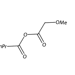 [CH2]CCC(=O)OC(=O)COC